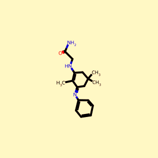 CC1=C(NCC(N)=O)CC(C)(C)CC1=Nc1ccccc1